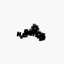 CCC(=O)NCc1cn(-c2ccc(C(F)(F)F)cc2)c2ccccc12